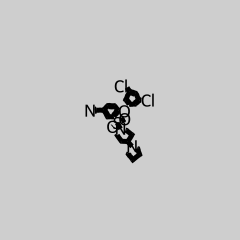 N#Cc1ccc(Oc2cc(Cl)cc(Cl)c2)c(S(=O)(=O)N2CCC(N3CCCC3)CC2)c1